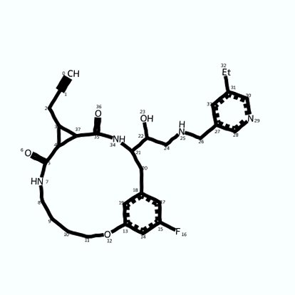 C#CCC1C2C(=O)NCCCCOc3cc(F)cc(c3)CC(C(O)CNCc3cncc(CC)c3)NC(=O)C12